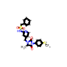 CC1C(=O)N(c2ccc(SC(F)(F)F)cc2)C(=O)N1Cc1ccnc(NS(=O)(=O)Cc2ccccc2)c1